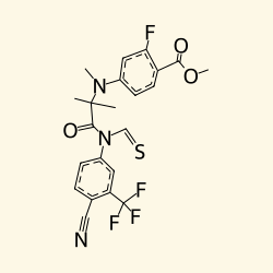 COC(=O)c1ccc(N(C)C(C)(C)C(=O)N(C=S)c2ccc(C#N)c(C(F)(F)F)c2)cc1F